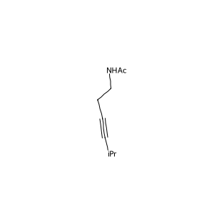 CC(=O)NCCC#CC(C)C